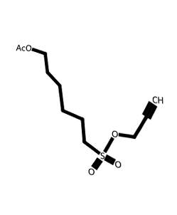 C#CCOS(=O)(=O)CCCCCCOC(C)=O